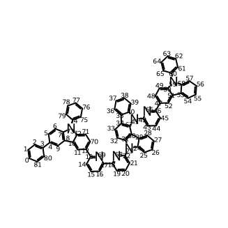 c1ccc(-c2ccc3c(c2)c2cc(-c4cccc(-c5cccc(-n6c7ccccc7c7c6ccc6c8ccccc8n(-c8cccc(-c9ccc%10c(c9)c9ccccc9n%10-c9ccccc9)n8)c67)n5)n4)ccc2n3-c2ccccc2)cc1